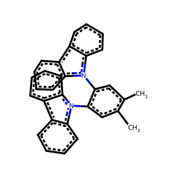 Cc1cc(-n2c3ccccc3c3ccccc32)c(-n2c3ccccc3c3ccccc32)cc1C